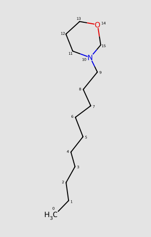 CCCCCCCCCCN1CCCOC1